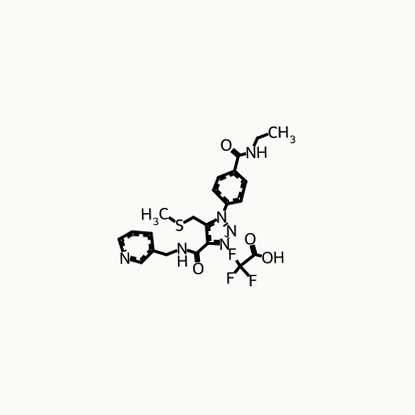 CCNC(=O)c1ccc(-n2nnc(C(=O)NCc3cccnc3)c2CSC)cc1.O=C(O)C(F)(F)F